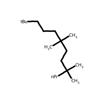 CCCC(C)(C)CCC(C)(C)CCCC(C)(C)C